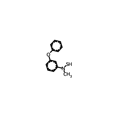 CN(S)c1cccc(Oc2ccccc2)c1